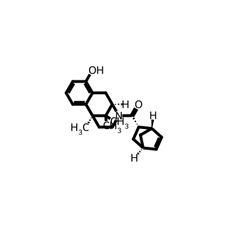 CC1(C)[C@H]2Cc3c(O)cccc3[C@]1(C)CCN2C(=O)[C@H]1C[C@@H]2C=C[C@@H]1C2